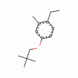 CCc1ccc(OCC(C)(C)C)cc1C